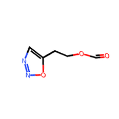 O=COCCc1cnno1